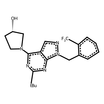 CC(C)(C)c1nc(N2CC[C@H](O)C2)c2cnn(Cc3ccccc3C(F)(F)F)c2n1